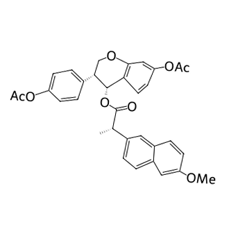 COc1ccc2cc([C@H](C)C(=O)O[C@H]3c4ccc(OC(C)=O)cc4OC[C@H]3c3ccc(OC(C)=O)cc3)ccc2c1